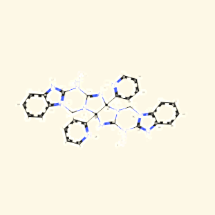 [S-][NH+]1C2=NC3(c4ccccn4)N4Cn5c(nc6ccccc65)[NH+]([S-])C4=NC3(c3ccccn3)N2Cn2c1nc1ccccc12